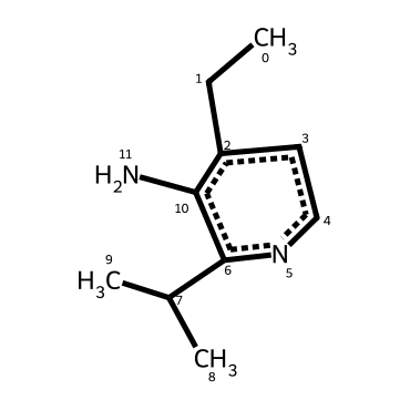 CCc1ccnc(C(C)C)c1N